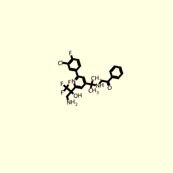 CC(C)(NCC(=O)c1ccccc1)c1cc(-c2ccc(F)c(Cl)c2)nc(C(O)(CN)C(F)(F)F)c1